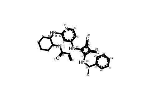 C=CC(=O)NC1CCCCC1Nc1cc(Nc2c(N[C@H](C)c3ccccc3)c(=O)c2=O)ccn1